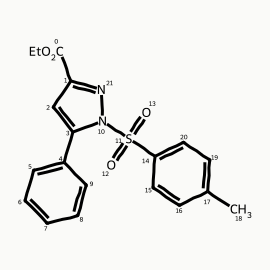 CCOC(=O)c1cc(-c2ccccc2)n(S(=O)(=O)c2ccc(C)cc2)n1